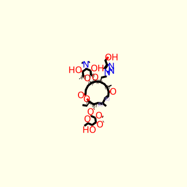 CC[C@H]1OC(=O)CC[C@H](C)[C@@H](O[C@@H]2O[C@H](C)C(O)C(N(C)C)C2O)[C@@H](CCn2cc(CO)nn2)C[C@@H](C)C(=O)/C=C/C(C)=C/[C@@H]1COC1OC(C)C(O)C(OC)C1OC